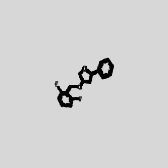 Fc1cccc(F)c1COC1COC(c2ccccc2)C1